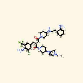 CN1CC2CC1CN2C1CCN(C(=O)[C@H](CC(=O)N2CCC(NCCc3ccccc3N)CC2)Cc2cc(Cl)c(N)c(C(F)(F)F)c2)CC1